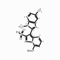 CCS(=O)(=O)c1nn2c(OC)ccnc2c1-c1nc2cc(C(F)(F)F)cnc2n1C